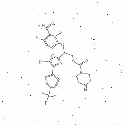 NC(=O)c1c(F)ccc(OC(COC(=O)N2CCNCC2)c2nc(-c3ccc(C(F)(F)F)cc3)c(Br)o2)c1F